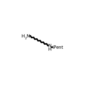 CCCC(C)CNCCCCCCCCCCCCN